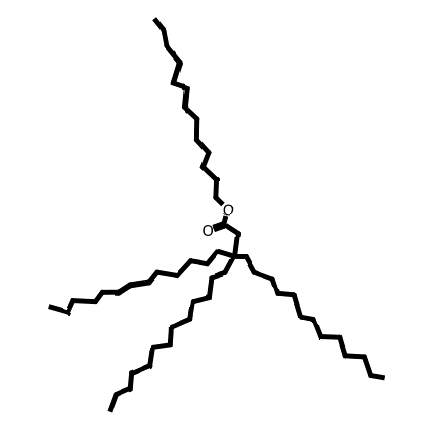 CCCCCCCCCCCCCOC(=O)CC(CCCCCCCCCCCCC)(CCCCCCCCCCCCC)CCCCCCCCCCCCC